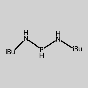 CCC(C)NPNC(C)CC